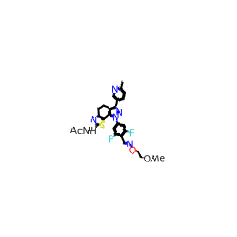 COCCO/N=C/c1c(F)cc(-n2nc(-c3ccc(C)nc3)c3c2-c2sc(NC(C)=O)nc2CC3)cc1F